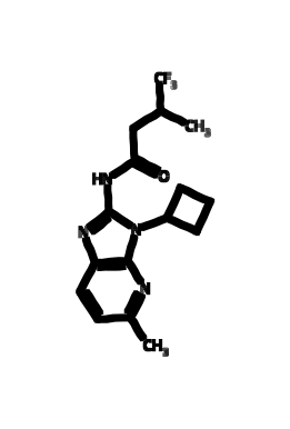 Cc1ccc2nc(NC(=O)CC(C)C(F)(F)F)n(C3CCC3)c2n1